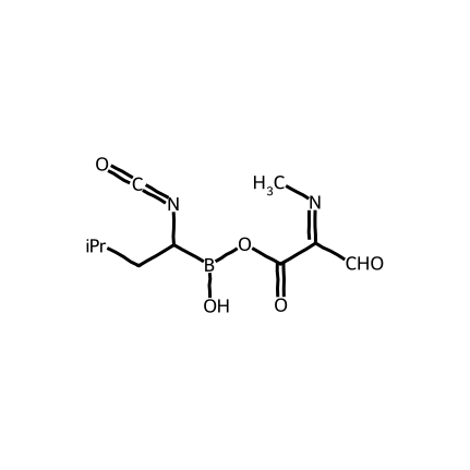 C/N=C(/C=O)C(=O)OB(O)C(CC(C)C)N=C=O